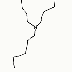 CCCCCN(CCCC)CCCC